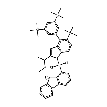 CCC(C)C1=Cc2c(ccc(C(C)(C)C)c2-c2cc([Si](C)(C)C)cc([Si](C)(C)C)c2)[CH]1[Zr]([Cl])([Cl])[c]1cccc2c1[SiH2]c1ccccc1-2